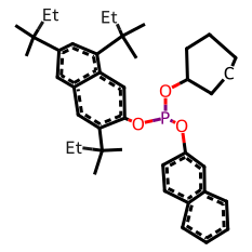 CCC(C)(C)c1cc(C(C)(C)CC)c2cc(OP(Oc3ccc4ccccc4c3)OC3CCCCC3)c(C(C)(C)CC)cc2c1